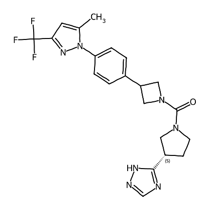 Cc1cc(C(F)(F)F)nn1-c1ccc(C2CN(C(=O)N3CC[C@H](c4ncn[nH]4)C3)C2)cc1